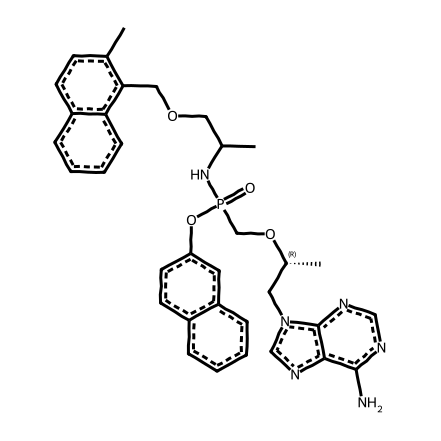 Cc1ccc2ccccc2c1COCC(C)NP(=O)(CO[C@H](C)Cn1cnc2c(N)ncnc21)Oc1ccc2ccccc2c1